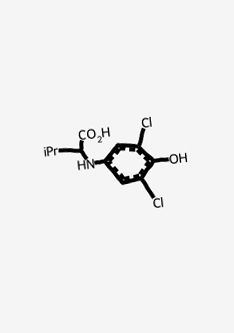 CC(C)C(Nc1cc(Cl)c(O)c(Cl)c1)C(=O)O